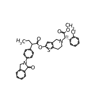 CCC(C(=O)Oc1cc2c(s1)CCN([C@H](C(=O)OC)c1ccccc1Cl)C2)c1ccc(N2Cc3ccccc3C2=O)cc1